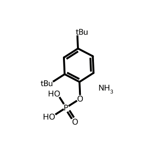 CC(C)(C)c1ccc(OP(=O)(O)O)c(C(C)(C)C)c1.N